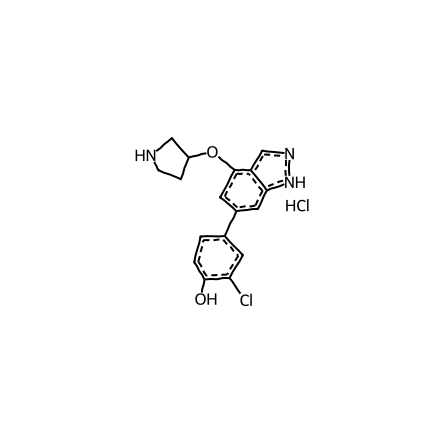 Cl.Oc1ccc(-c2cc(OC3CCNC3)c3cn[nH]c3c2)cc1Cl